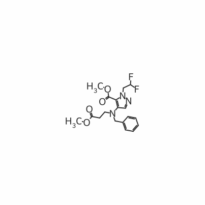 COC(=O)CCN(Cc1ccccc1)c1cnn(CC(F)F)c1C(=O)OC